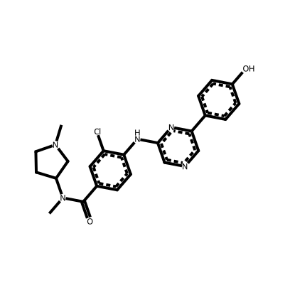 CN1CCC(N(C)C(=O)c2ccc(Nc3cncc(-c4ccc(O)cc4)n3)c(Cl)c2)C1